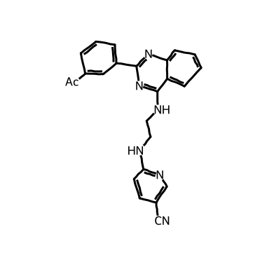 CC(=O)c1cccc(-c2nc(NCCNc3ccc(C#N)cn3)c3ccccc3n2)c1